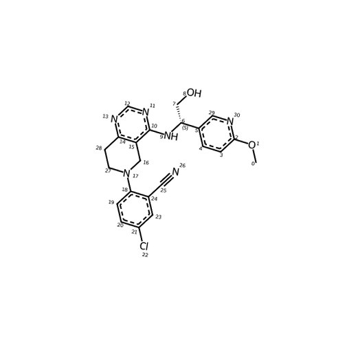 COc1ccc([C@@H](CO)Nc2ncnc3c2CN(c2ccc(Cl)cc2C#N)CC3)cn1